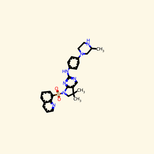 CC1CN(c2ccc(Nc3ncc4c(n3)N(S(=O)(=O)c3cccc5cccnc35)CC4(C)C)cc2)CCN1